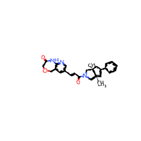 C[C@]12CC(c3ccccc3)=C[C@@]1(C)CN(C(=O)/C=C/c1cnc3c(c1)COCC(=O)N3)C2